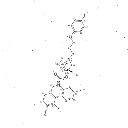 O=C(O[C@H]1C[N+]2(CCCOc3ccc(F)cc3)CCC1CC2)N(Cc1ccc(F)c(F)c1)c1cccc(F)c1